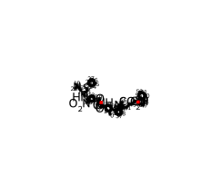 Cc1cc(C(=O)NS(=O)(=O)c2ccc(N[C@H](CCN(C)C)CSc3ccccc3)c([N+](=O)[O-])c2)ccc1-c1cccc2c(CCCOc3cccc4ccccc34)c(C(=O)O)nn12